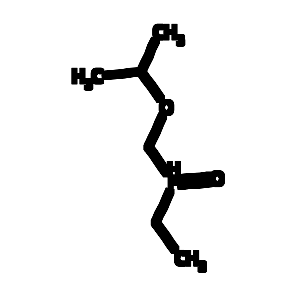 CC[PH](=O)COC(C)C